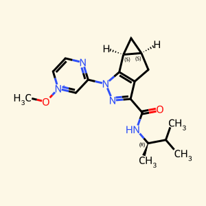 CO[n+]1ccnc(-n2nc(C(=O)N[C@H](C)C(C)C)c3c2[C@H]2C[C@H]2C3)c1